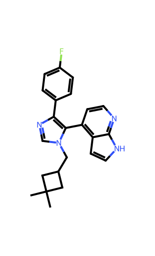 CC1(C)CC(Cn2cnc(-c3ccc(F)cc3)c2-c2ccnc3[nH]ccc23)C1